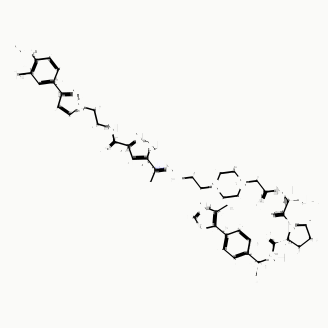 C/C(=N\OCCN1CCN(CC(=O)N[C@H](C(=O)N2CCC[C@H]2C(=O)N[C@@H](C)c2ccc(-c3scnc3C)cc2)C(C)(C)C)CC1)c1cc(C(=O)NCCn2ccc(-c3ccc(C#N)c(Cl)c3)n2)n[nH]1